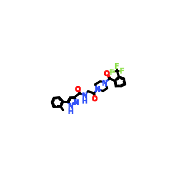 Cc1ccccc1-c1cc(C(=O)NCC(=O)N2CCN(C(=O)c3ccccc3C(F)(F)F)CC2)n[nH]1